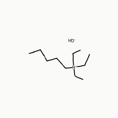 CCCCC[N+](CC)(CC)CC.[OH-]